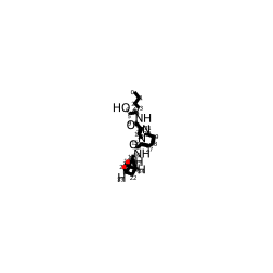 CCCC[C@@H](CO)NC(=O)c1cn2c(C(=O)NC[C@@H]3CC[C@H]4C[C@@H]3C4(C)C)cccc2n1